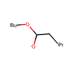 CCC(C)OC([O])CC(C)C